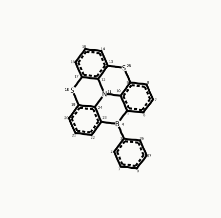 c1ccc(B2c3cccc4c3N3c5c(cccc5Sc5cccc2c53)S4)cc1